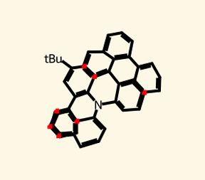 CC(C)(C)c1ccc(N(c2ccccc2-c2cccc3cccc(-c4ccccc4)c23)c2cccc3ccccc23)c(-c2ccccc2)c1